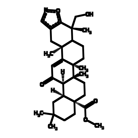 COC(=O)[C@]12CCC(C)(C)C[C@H]1[C@H]1C(=O)C=C3[C@@]4(C)Cc5cnoc5[C@](C)(CO)C4CC[C@@]3(C)[C@]1(C)CC2